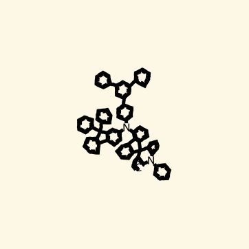 c1ccc(-c2cc(-c3ccccc3)cc(-c3ccc(N(c4ccc5c(c4)C(c4ccccc4)(c4ccccc4)c4ccccc4-5)c4cccc5c4-c4ccccc4C54c5ccccc5N(c5ccccc5)c5ccccc54)cc3)c2)cc1